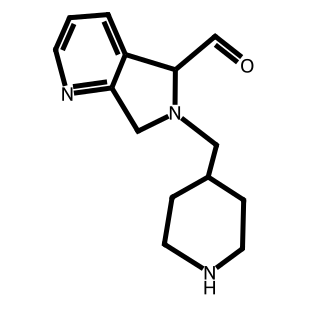 O=CC1c2cccnc2CN1CC1CCNCC1